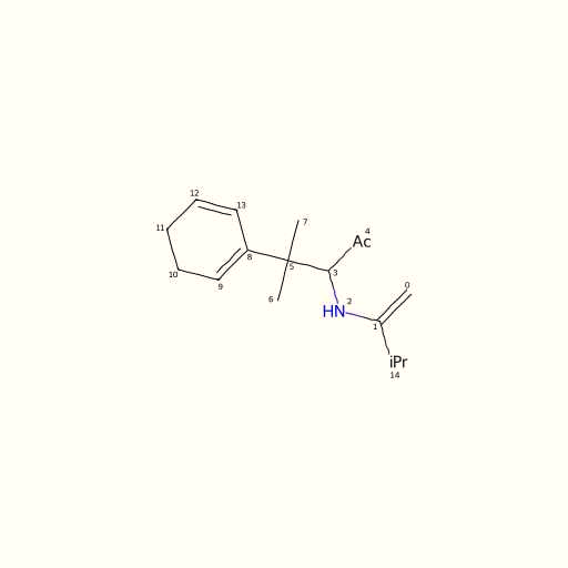 C=C(NC(C(C)=O)C(C)(C)C1=CCCC=C1)C(C)C